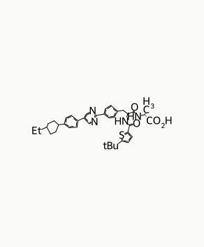 CCC1CCC(c2ccc(-c3cnc(-c4ccc(CC(NC(=O)c5ccc(C(C)(C)C)s5)C(=O)N[C@H](C)C(=O)O)cc4)nc3)cc2)CC1